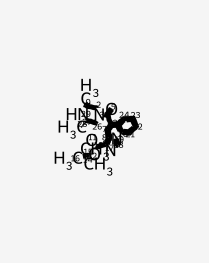 C[C@@H]1CN(C(=O)c2cc3c(C(=O)OC(C)(C)C)ncn3c3ccccc23)C[C@H](C)N1